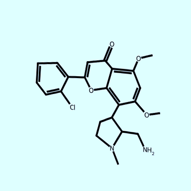 COc1cc(OC)c2c(=O)cc(-c3ccccc3Cl)oc2c1C1CCN(C)C1CN